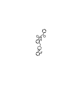 O=C(CNC(=O)c1cccc(CC2CCN(c3ccccc3F)CC2)c1)c1ccccc1